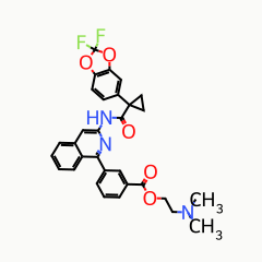 CN(C)CCOC(=O)c1cccc(-c2nc(NC(=O)C3(c4ccc5c(c4)OC(F)(F)O5)CC3)cc3ccccc23)c1